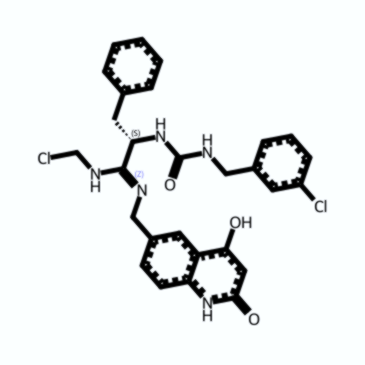 O=C(NCc1cccc(Cl)c1)N[C@@H](Cc1ccccc1)/C(=N/Cc1ccc2[nH]c(=O)cc(O)c2c1)NCCl